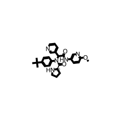 COc1ccc(NC(=O)C(c2cccnc2)N(C(=O)[C@H]2CCCN2)c2ccc(C(C)(C)C)cc2)cn1